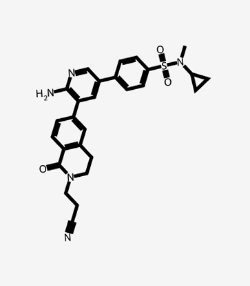 CN(C1CC1)S(=O)(=O)c1ccc(-c2cnc(N)c(-c3ccc4c(c3)CCN(CCC#N)C4=O)c2)cc1